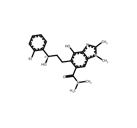 CCc1ccccc1[C@H](O)CCc1c(C(=O)N(C)C)cc2c(nc(C)n2C)c1O